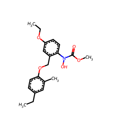 CCOc1ccc(N(O)C(=O)OC)c(COc2ccc(CC)cc2C)c1